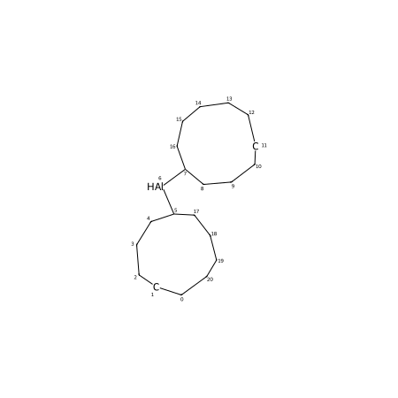 C1CCCC[CH]([AlH][CH]2CCCCCCCCC2)CCCC1